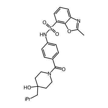 Cc1nc2cccc(S(=O)(=O)Nc3ccc(C(=O)N4CCC(O)(CC(C)C)CC4)cc3)c2o1